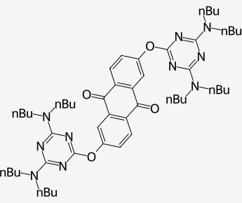 CCCCN(CCCC)c1nc(Oc2ccc3c(c2)C(=O)c2ccc(Oc4nc(N(CCCC)CCCC)nc(N(CCCC)CCCC)n4)cc2C3=O)nc(N(CCCC)CCCC)n1